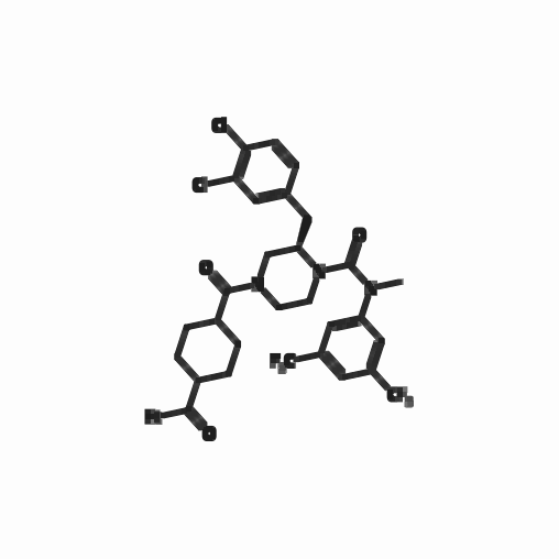 CCC(=O)C1CCC(C(=O)N2CCN(C(=O)N(C)c3cc(C(F)(F)F)cc(C(F)(F)F)c3)[C@H](Cc3ccc(Cl)c(Cl)c3)C2)CC1